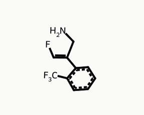 NCC(=CF)c1ccccc1C(F)(F)F